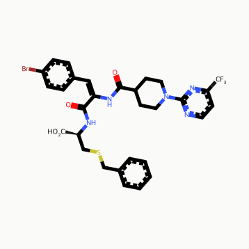 O=C(N[C@@H](CSCc1ccccc1)C(=O)O)/C(=C\c1ccc(Br)cc1)NC(=O)C1CCN(c2nccc(C(F)(F)F)n2)CC1